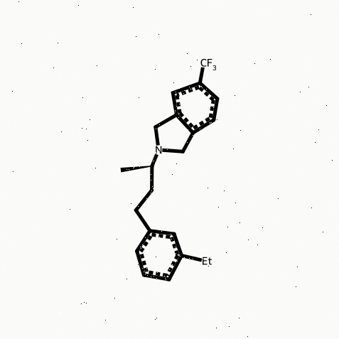 CCc1cccc(CC[C@@H](C)N2Cc3ccc(C(F)(F)F)cc3C2)c1